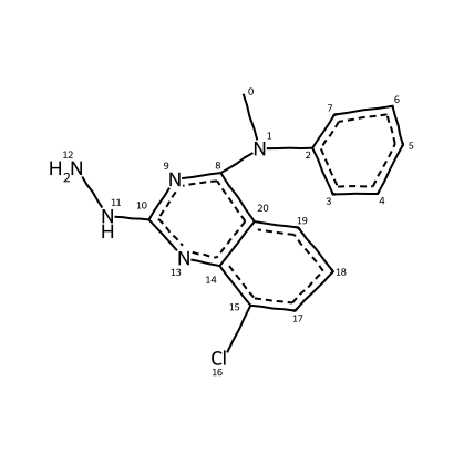 CN(c1ccccc1)c1nc(NN)nc2c(Cl)cccc12